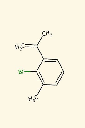 C=C(C)c1cccc(C)c1Br